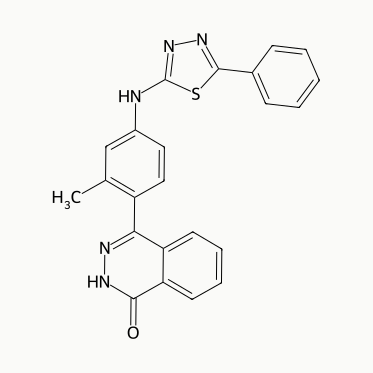 Cc1cc(Nc2nnc(-c3ccccc3)s2)ccc1-c1n[nH]c(=O)c2ccccc12